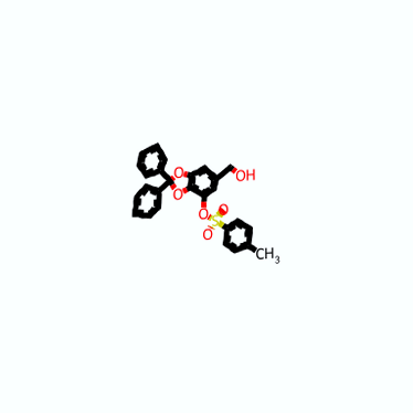 Cc1ccc(S(=O)(=O)Oc2cc(CO)cc3c2OC(c2ccccc2)(c2ccccc2)O3)cc1